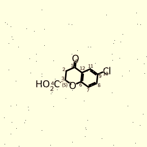 O=C1C[C@@H](C(=O)O)Oc2ccc(Cl)cc21